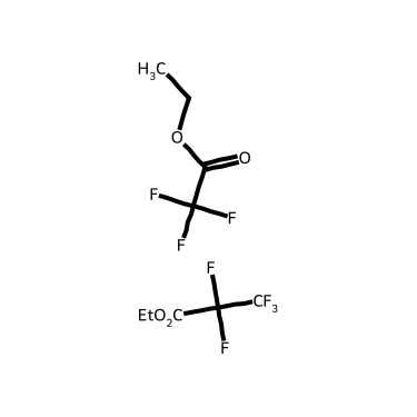 CCOC(=O)C(F)(F)C(F)(F)F.CCOC(=O)C(F)(F)F